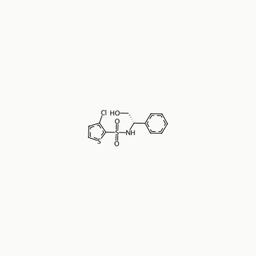 O=S(=O)(N[C@H](CO)c1ccccc1)c1sccc1Cl